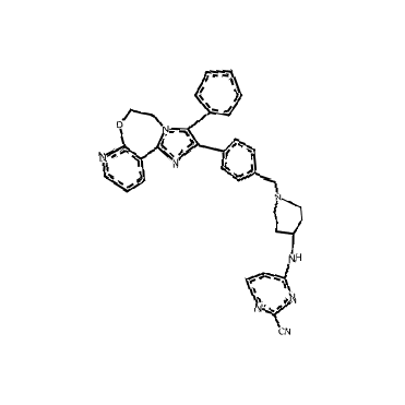 N#Cc1nccc(NC2CCN(Cc3ccc(-c4nc5n(c4-c4ccccc4)CCOc4ncccc4-5)cc3)CC2)n1